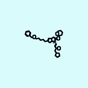 O=C(C=C[C@@H]1C2CC(CCCCCOCc3ccccc3)=CC2C[C@H]1OC1CCCCO1)CC1CCCC1